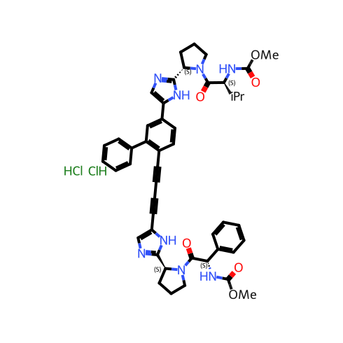 COC(=O)N[C@H](C(=O)N1CCC[C@H]1c1ncc(C#CC#Cc2ccc(-c3cnc([C@@H]4CCCN4C(=O)[C@@H](NC(=O)OC)C(C)C)[nH]3)cc2-c2ccccc2)[nH]1)c1ccccc1.Cl.Cl